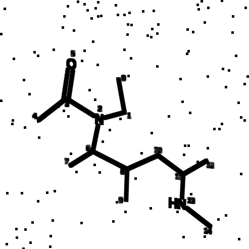 CCN(C(C)=O)C(C)C(C)CC(C)NC